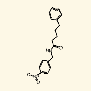 O=C(CCCCc1ccccc1)NCc1ccc([N+](=O)[O-])cc1